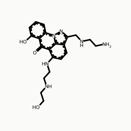 NCCNCc1nn2c3cccc(O)c3c(=O)c3c(NCCNCCO)ccc1c32